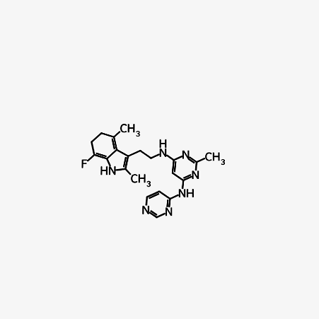 CC1=c2c(CCNc3cc(Nc4ccncn4)nc(C)n3)c(C)[nH]c2=C(F)CC1